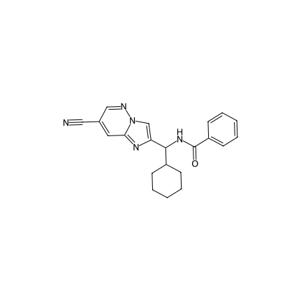 N#Cc1cnn2cc(C(NC(=O)c3ccccc3)C3CCCCC3)nc2c1